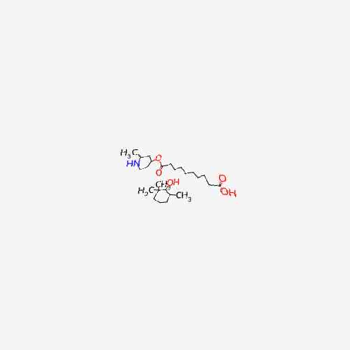 CC1CC(OC(=O)CCCCCCCCC(=O)O)CCN1.CC1CCCC(C)(C)C1O